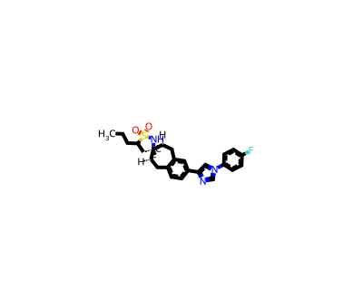 CCCC1C[C@]2(NS1(=O)=O)[C@@H]1CC[C@H]2Cc2ccc(-c3cn(-c4ccc(F)cc4)cn3)cc2C1